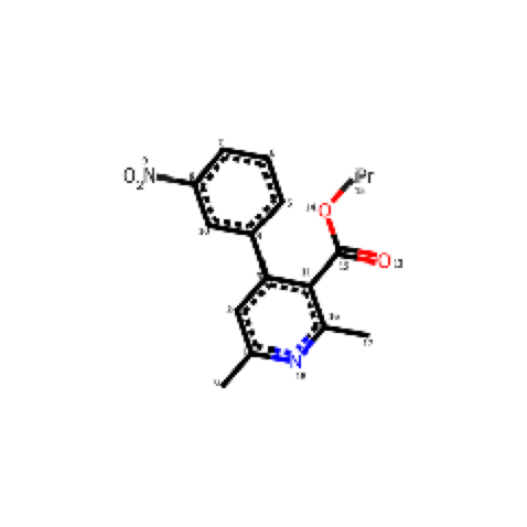 Cc1cc(-c2cccc([N+](=O)[O-])c2)c(C(=O)OC(C)C)c(C)n1